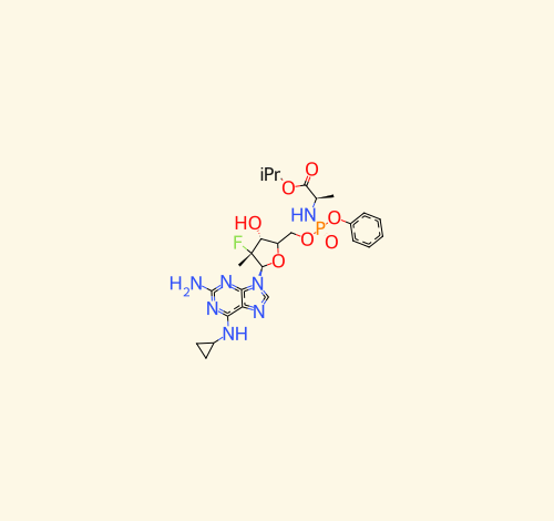 CC(C)OC(=O)[C@@H](C)N[P@](=O)(OCC1O[C@@H](n2cnc3c(NC4CC4)nc(N)nc32)[C@](C)(F)[C@@H]1O)Oc1ccccc1